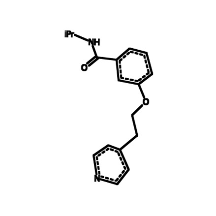 CC(C)NC(=O)c1cccc(OCCc2ccncc2)c1